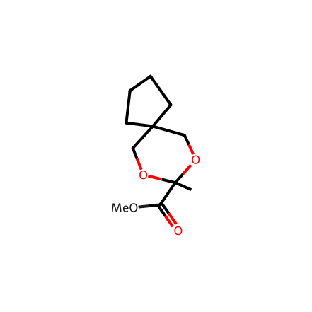 COC(=O)C1(C)OCC2(CCCC2)CO1